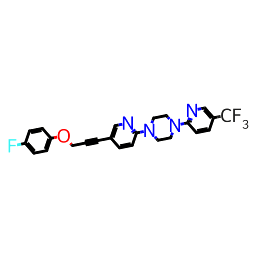 Fc1ccc(OCC#Cc2ccc(N3CCN(c4ccc(C(F)(F)F)cn4)CC3)nc2)cc1